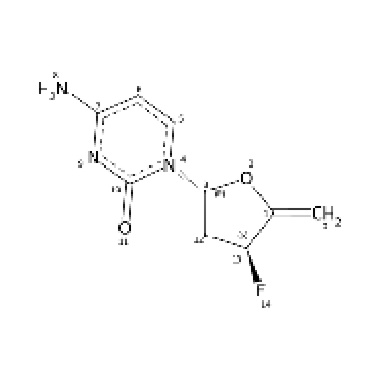 C=C1O[C@@H](n2ccc(N)nc2=O)C[C@@H]1F